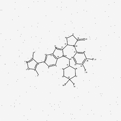 Cc1noc(C)c1-c1ccc2c(c1)nc(C1CCC(=O)N1c1ccc(F)c(F)c1)n2CC1CCC(F)(F)CC1